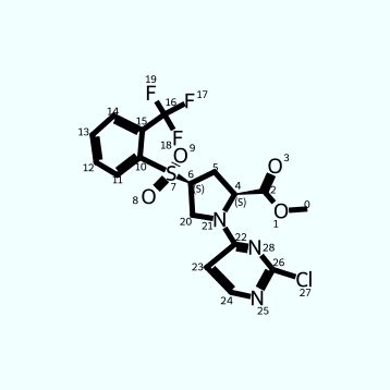 COC(=O)[C@@H]1C[C@H](S(=O)(=O)c2ccccc2C(F)(F)F)CN1c1ccnc(Cl)n1